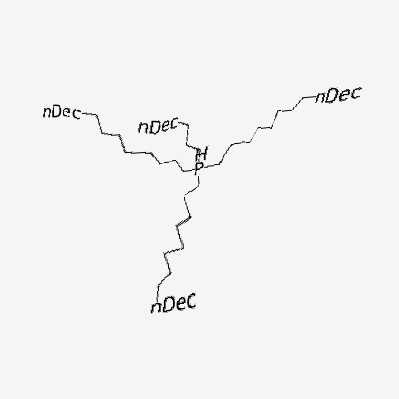 CCCCCCCCCCCCCCCCCC[PH](CCCCCCCCCCCCC)(CCCCCCCCCCCCCCCCCC)CCCCCCCCCCCCCCCCCC